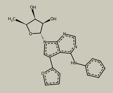 C[C@@H]1O[C@@H](n2cc(-c3ccco3)c3c(Nc4ccccc4)ncnc32)[C@H](O)[C@@H]1O